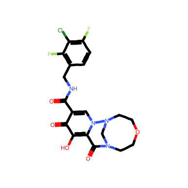 O=C(NCc1ccc(F)c(Cl)c1F)c1cn2c(c(O)c1=O)C(=O)N1CCOCCN2C1